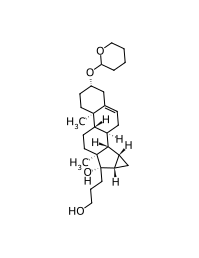 C[C@]12CC[C@H](OC3CCCCO3)CC1=CC[C@H]1[C@@H]3[C@@H]4C[C@@H]4[C@@](O)(CCCO)[C@@]3(C)CC[C@@H]12